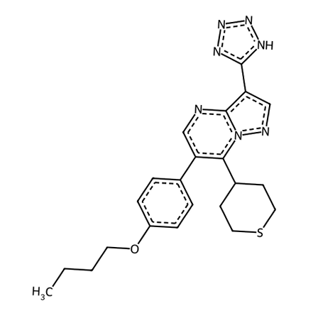 CCCCOc1ccc(-c2cnc3c(-c4nnn[nH]4)cnn3c2C2CCSCC2)cc1